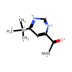 CNC(=O)c1c[c]([Sn]([CH3])([CH3])[CH3])ncn1